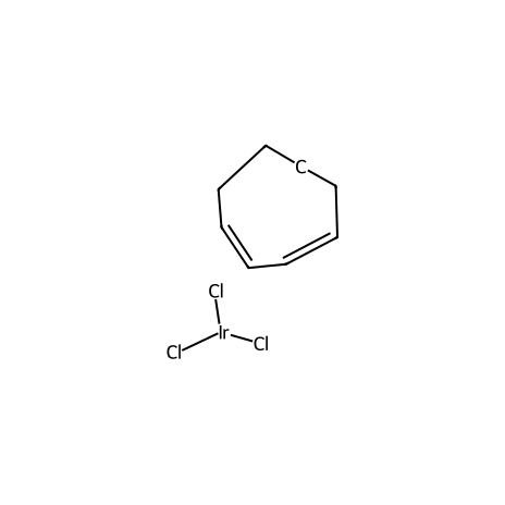 C1=CCCCCC=C1.[Cl][Ir]([Cl])[Cl]